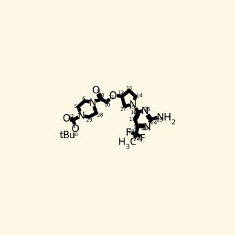 CC(C)(C)OC(=O)N1CCN(C(=O)COC2CCN(c3cc(C(C)(F)F)nc(N)n3)C2)CC1